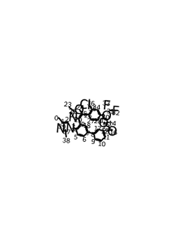 Cc1cn(-c2ccc(-c3cccc(S(C)(=O)=O)c3)cc2-c2nc(C)oc2-c2ccc(OC(F)F)cc2Cl)c(C)n1